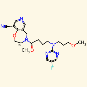 COCCCN(CCCC(=O)N1Cc2cncc(C#N)c2OC[C@H]1C)c1ncc(F)cn1